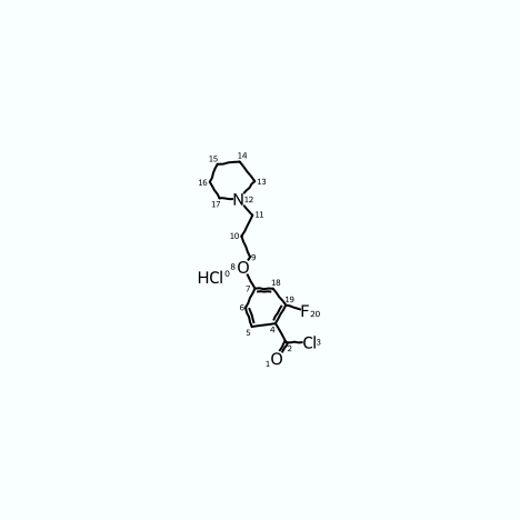 Cl.O=C(Cl)c1ccc(OCCCN2CCCCC2)cc1F